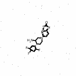 NC1CN(c2ccc3nc(=O)sn3n2)CC[C@@H]1c1cc(F)c(F)cc1F